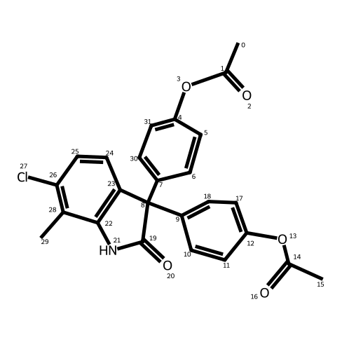 CC(=O)Oc1ccc(C2(c3ccc(OC(C)=O)cc3)C(=O)Nc3c2ccc(Cl)c3C)cc1